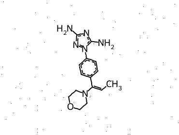 C/C=C(\c1ccc(-n2nc(N)nc2N)cc1)N1CCOCC1